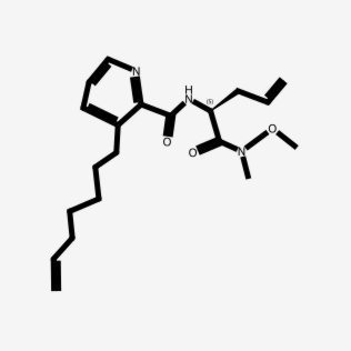 C=CCCCCCc1cccnc1C(=O)N[C@@H](CC=C)C(=O)N(C)OC